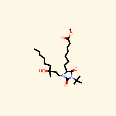 CCCCCCC(C)(O)CCN1C(=O)N(C(C)(C)C)C(=O)C1CCCCCCC(=O)OC